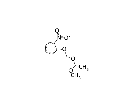 COC(C)OCOc1ccccc1[N+](=O)[O-]